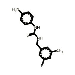 Nc1ccc(NC(=S)NCc2cc(F)cc(C(F)(F)F)c2)cc1